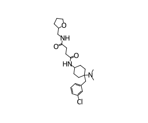 CN(C)C1(Cc2cccc(Cl)c2)CCC(NC(=O)CCC(=O)NCC2CCCO2)CC1